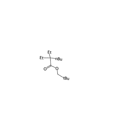 CCCCC(CC)(CC)C(=O)OCC(C)(C)C